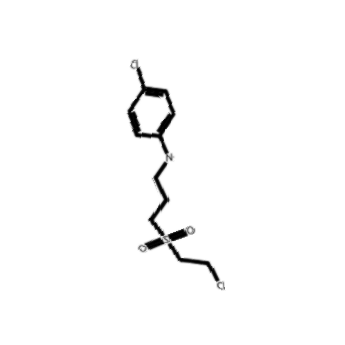 O=S(=O)(CCCl)CCC[N]c1ccc(Cl)cc1